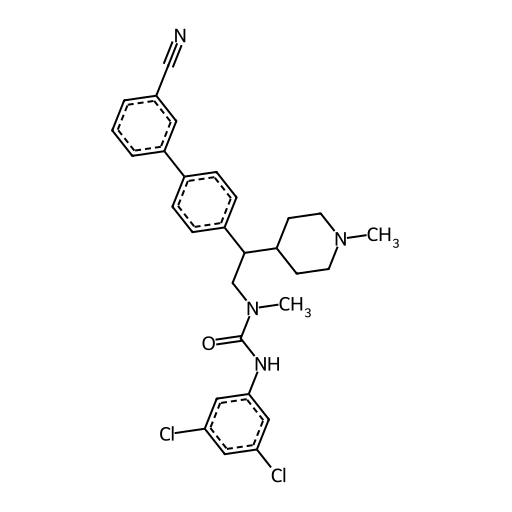 CN1CCC(C(CN(C)C(=O)Nc2cc(Cl)cc(Cl)c2)c2ccc(-c3cccc(C#N)c3)cc2)CC1